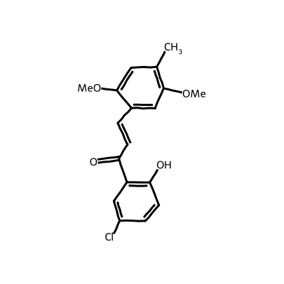 COc1cc(/C=C/C(=O)c2cc(Cl)ccc2O)c(OC)cc1C